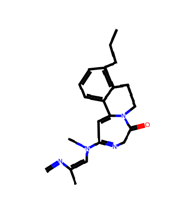 C=N/C(C)=C\N(C)C1=NCC(=O)N2CCc3c(CCC)cccc3C2=C1